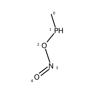 CPON=O